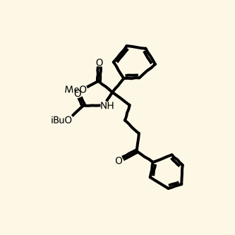 COC(=O)C(CCCC(=O)c1ccccc1)(NC(=O)OCC(C)C)c1ccccc1